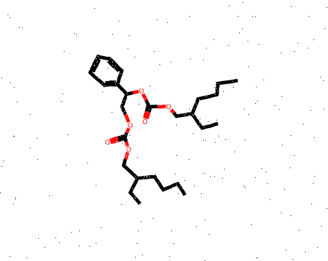 CCCCC(CC)COC(=O)OCC(OC(=O)OCC(CC)CCCC)c1ccccc1